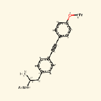 CCCOc1ccc(C#Cc2ccc(C[C@H](C)NC(C)=O)cc2)cc1